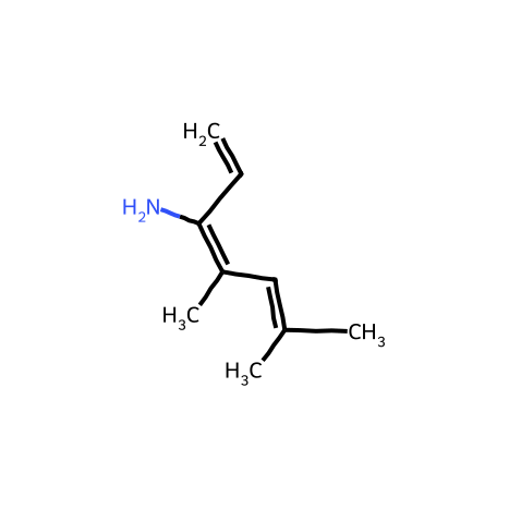 C=C/C(N)=C(/C)C=C(C)C